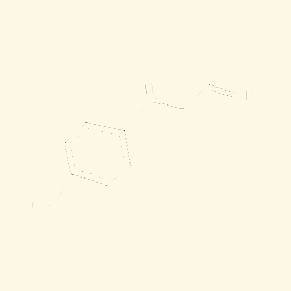 C=CC[SiH2]c1ccc(CCC)cc1